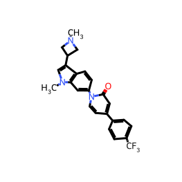 CN1CC(c2cn(C)c3cc(-n4ccc(-c5ccc(C(F)(F)F)cc5)cc4=O)ccc23)C1